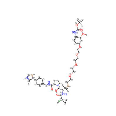 COc1cc(OCCOCCOCCOCCSC(C)(C)[C@H](NC(=O)C2(F)CC2)C(=O)N2CCCC2C(=O)NCc2ccc(-c3scnc3C)cc2)ccc1NC(=O)OC(C)(C)C